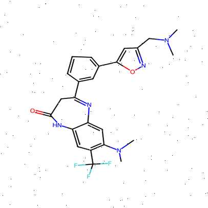 CN(C)Cc1cc(-c2cccc(C3=Nc4cc(N(C)C)c(C(F)(F)F)cc4NC(=O)C3)c2)on1